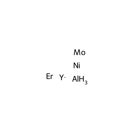 [AlH3].[Er].[Mo].[Ni].[Y]